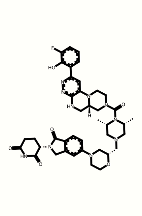 C[C@@H]1CN(C[C@H]2CN(c3ccc4c(c3)CN([C@H]3CCC(=O)NC3=O)C4=O)CCO2)C[C@H](C)N1C(=O)N1CCN2c3cc(-c4cccc(F)c4O)nnc3NC[C@H]2C1